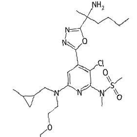 CCCCC(C)(N)c1nnc(-c2cc(N(CCOC)CC3CC3C)nc(N(C)S(C)(=O)=O)c2Cl)o1